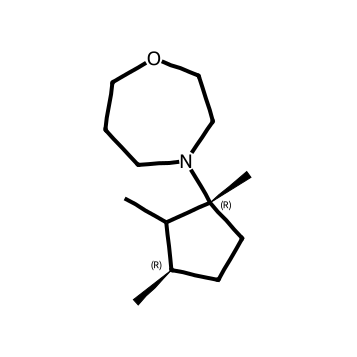 CC1[C@H](C)CC[C@@]1(C)N1CCCOCC1